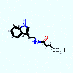 O=C(O)CCC(=O)NCCc1c[nH]c2ccccc12